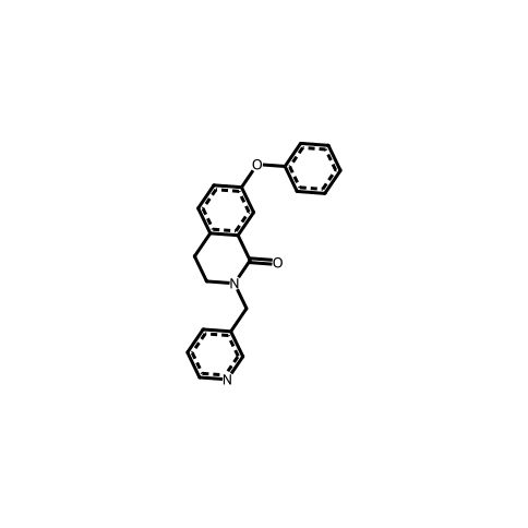 O=C1c2cc(Oc3ccccc3)ccc2CCN1Cc1cccnc1